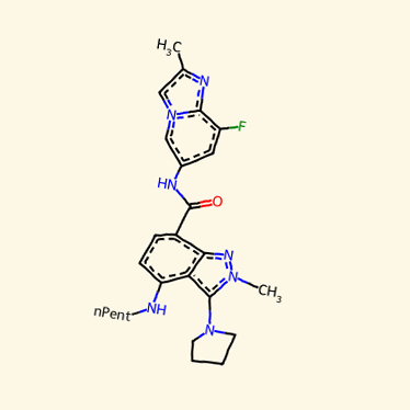 CCCCCNc1ccc(C(=O)Nc2cc(F)c3nc(C)cn3c2)c2nn(C)c(N3CCCC3)c12